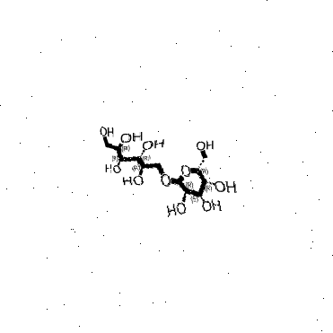 OC[C@@H](O)[C@@H](O)[C@H](O)[C@H](O)COC1O[C@H](CO)[C@H](O)[C@H](O)[C@H]1O